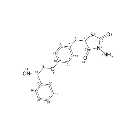 NN1C(=O)SC(Cc2ccc(OC[C@@H](N=O)c3ccccc3)cc2)C1=O